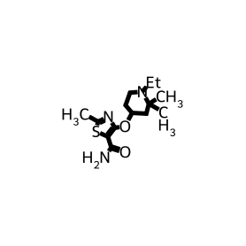 CCN1CCC(Oc2nc(C)sc2C(N)=O)CC1(C)C